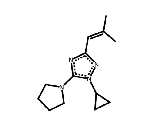 CC(C)=Cc1nc(N2CCCC2)n(C2CC2)n1